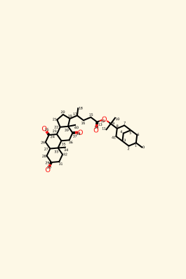 CC1CC2CC(C1)CC(C(C)(C)OC(=O)CCC(C)C1CCC3C4C(=O)CC5CC(=O)CCC5(C)C4CC(=O)C13C)C2